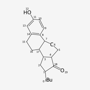 CCC(C)C1CC2C(CCC3c4ccc(O)cc4CCC32)C1=O